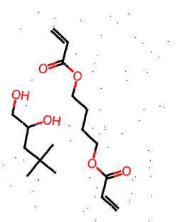 C=CC(=O)OCCCCOC(=O)C=C.CC(C)(C)CC(O)CO